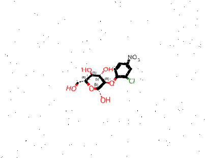 O=[N+]([O-])c1ccc(O[C@@H]2[C@@H](O)[C@H](O)[C@@H](CO)O[C@H]2O)c(Cl)c1